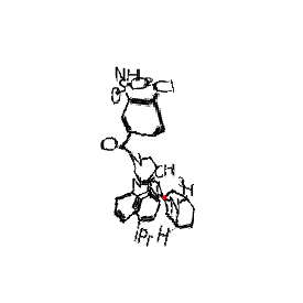 Cc1nc2ccccc2n1[C@H]1C[C@H]2CC[C@@H](C1)N2CCC1(c2ccc(C(C)C)cc2)CCN(C(=O)c2ccc(Cl)c(S(N)(=O)=O)c2)CC1